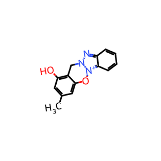 Cc1cc(O)c2c(c1)O[n+]1c3ccccc3nn1C2